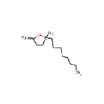 C=C1CC[C@@](C)(CCCCCCCC)O1